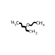 C=C/C(=C/CC)OCCC